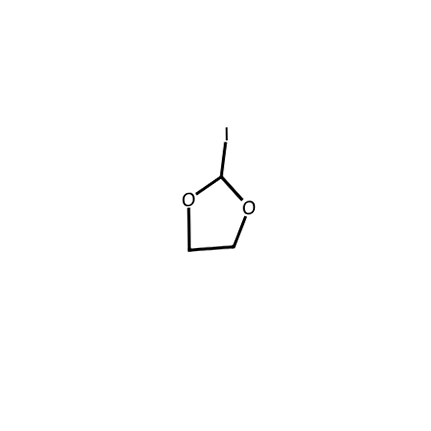 IC1OCCO1